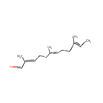 C/C=C(\C)CC/C=C(\C)CC/C=C(\C)C=O